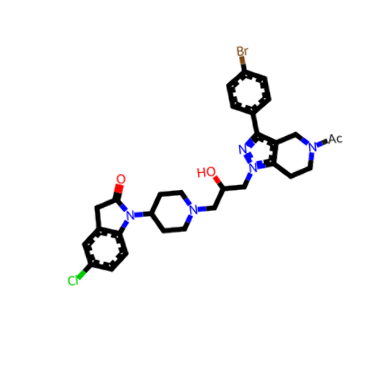 CC(=O)N1CCc2c(c(-c3ccc(Br)cc3)nn2CC(O)CN2CCC(N3C(=O)Cc4cc(Cl)ccc43)CC2)C1